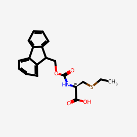 CCSC[C@H](NC(=O)OCC1c2ccccc2-c2ccccc21)C(=O)O